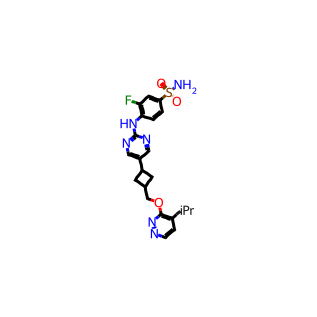 CC(C)c1ccnnc1OCC1CC(c2cnc(Nc3ccc(S(N)(=O)=O)cc3F)nc2)C1